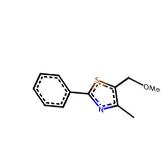 CO[CH]c1sc(-c2ccccc2)nc1C